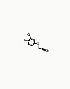 C#CCOc1ccc(F)c(Cl)c1